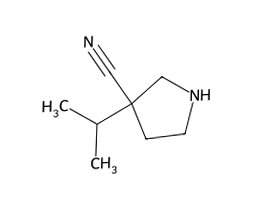 CC(C)C1(C#N)CCNC1